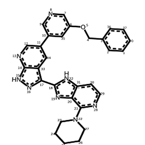 c1ccc(COc2cncc(-c3cnc4[nH]nc(-c5nc6c(N7CCCCC7)nccc6[nH]5)c4c3)c2)cc1